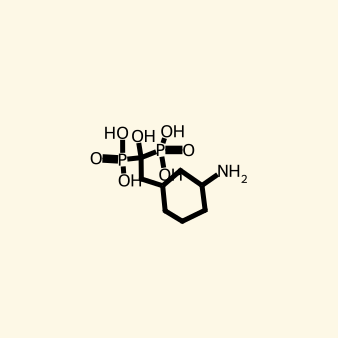 NC1CCCC(CC(O)(P(=O)(O)O)P(=O)(O)O)C1